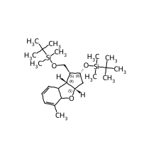 CC1=CC=CC2C1O[C@H]1C[C@@H](O[Si](C)(C)C(C)(C)C)[C@H](CO[Si](C)(C)C(C)(C)C)[C@@H]21